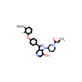 C=CC(=O)N1CCCC(n2nc(-c3ccc(Oc4cccc(OC)c4F)cc3)c3cncc(O)c32)C1